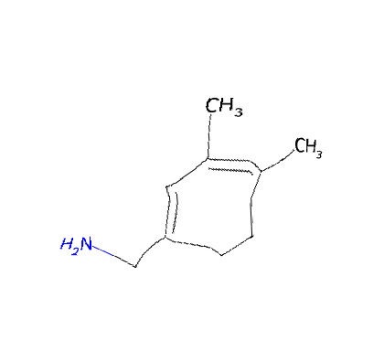 CC1=C(C)CCC(CN)=C1